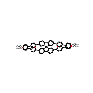 COc1ccc(-c2ccc(-c3ccc4c(c3)C3(c5cc(-c6ccc(-c7ccc(OC)cc7)cc6)ccc5-4)c4cc(-c5ccc(-c6ccc(OC)cc6)cc5)ccc4-c4ccc(-c5ccc(-c6ccc(OC)cc6)cc5)cc43)cc2)cc1